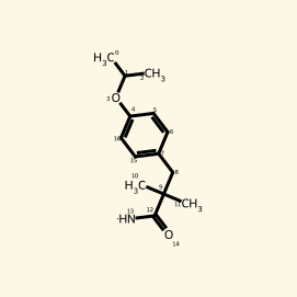 CC(C)Oc1ccc(CC(C)(C)C([NH])=O)cc1